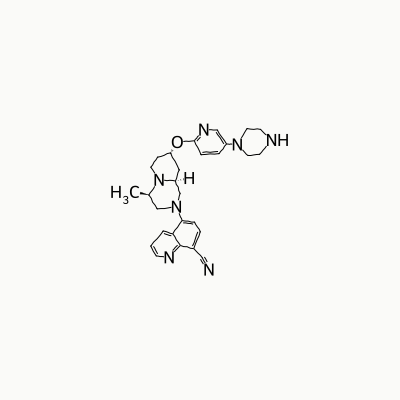 C[C@@H]1CN(c2ccc(C#N)c3ncccc23)C[C@@H]2C[C@@H](Oc3ccc(N4CCNCC4)cn3)CCN21